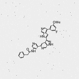 COc1cc(F)cc(-c2cncc3[nH]c(-c4n[nH]c5cnc(-c6cncc(NC(=O)Cc7ccccc7)c6)cc45)cc23)c1